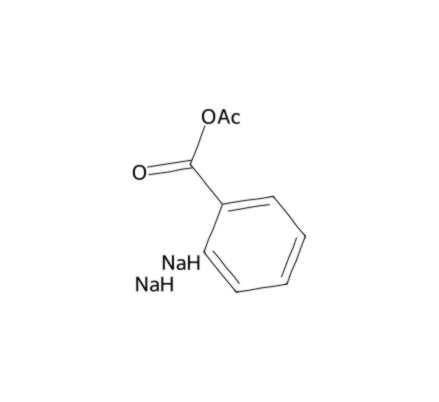 CC(=O)OC(=O)c1ccccc1.[NaH].[NaH]